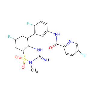 CN1C(=N)NC2C(c3cc(NC(=O)c4ccc(F)cn4)ccc3F)CC(F)CC2S1(=O)=O